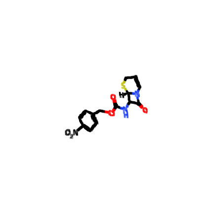 O=C(NC1C(=O)N2C=CCS[C@@H]12)OCc1ccc([N+](=O)[O-])cc1